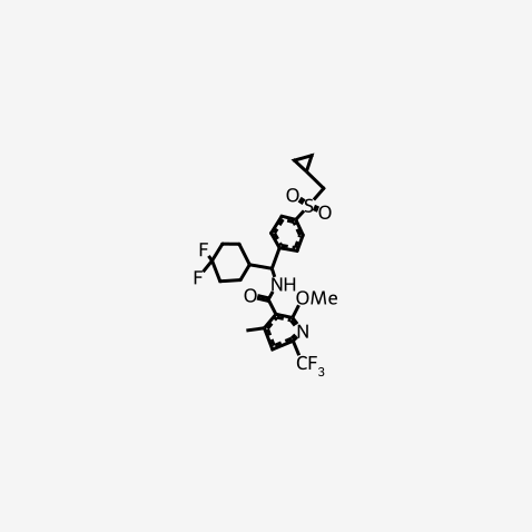 COc1nc(C(F)(F)F)cc(C)c1C(=O)NC(c1ccc(S(=O)(=O)CC2CC2)cc1)C1CCC(F)(F)CC1